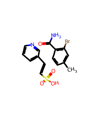 Cc1ccc(C(N)=O)c(Br)c1.O=S(=O)(O)C=Cc1cccnc1